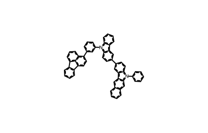 c1ccc(-n2c3ccc(-c4ccc5c(c4)c4ccccc4n5-c4cccc(-c5ccc6c7c(cccc57)-c5ccccc5-6)c4)cc3c3cc4ccccc4cc32)cc1